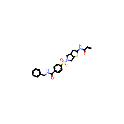 C=CC(=O)NC1CC2CN(S(=O)(=O)c3ccc(C(=O)NCc4ccccc4)cc3)CC2S1